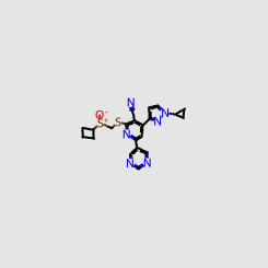 N#Cc1c(-c2ccn(C3CC3)n2)cc(-c2cncnc2)nc1SC[S+]([O-])C1CCC1